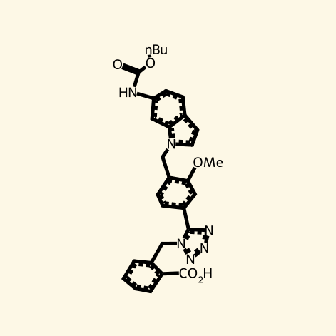 CCCCOC(=O)Nc1ccc2ccn(Cc3ccc(-c4nnnn4Cc4ccccc4C(=O)O)cc3OC)c2c1